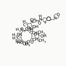 CC[C@H]1OC(=O)[C@H](C)C([C@H]2C[C@H](C)[C@@H](O)[C@H](C)O2)[C@H](C)[C@@H](O[C@@H]2O[C@H](C)C[C@H](N(C)CCC(=O)N[C@H](CF)Cc3ccc(CN4CCOCC4)cc3)[C@H]2O)[C@](C)(O)C[C@@H](C)CN(C)[C@H](C)[C@@H](O)[C@]1(C)O